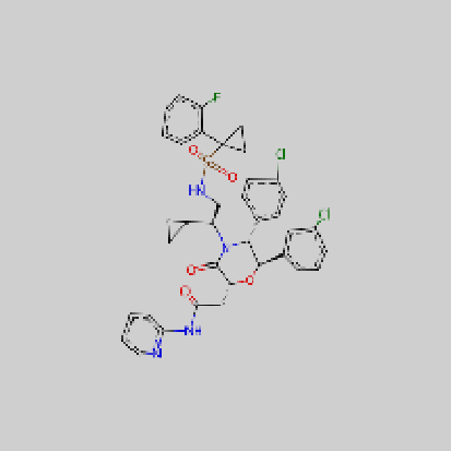 O=C(C[C@H]1O[C@H](c2cccc(Cl)c2)[C@@H](c2ccc(Cl)cc2)N([C@H](CNS(=O)(=O)C2(c3ccccc3F)CC2)C2CC2)C1=O)Nc1ccccn1